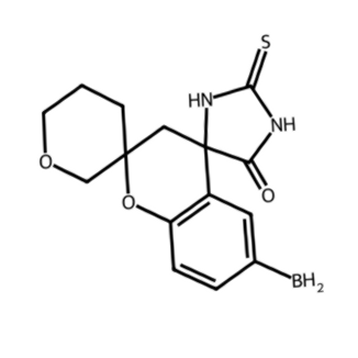 Bc1ccc2c(c1)C1(CC3(CCCOC3)O2)NC(=S)NC1=O